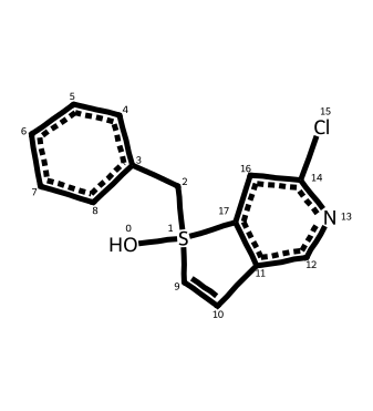 OS1(Cc2ccccc2)C=Cc2cnc(Cl)cc21